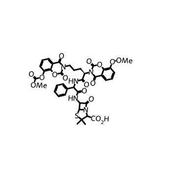 COOc1cccc2c(=O)n([C@H](CCCn3c(=O)oc4c(OC(=O)OC)cccc4c3=O)C(=O)NC(C(=O)NC3C(=O)N4C3SC(C)(C)C4C(=O)O)c3ccccc3)c(=O)oc12